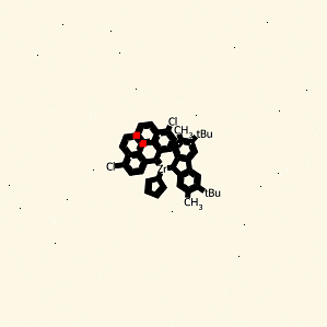 Cc1cc2c(cc1C(C)(C)C)-c1cc(C(C)(C)C)c(C)cc1[CH]2[Zr](=[C](c1ccc(Cl)c2ccccc12)c1ccc(Cl)c2ccccc12)[CH]1C=CC=C1